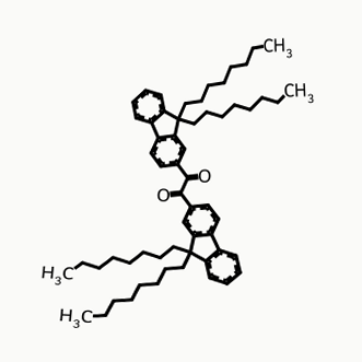 CCCCCCCCC1(CCCCCCCC)c2ccccc2-c2ccc(C(=O)C(=O)c3ccc4c(c3)C(CCCCCCCC)(CCCCCCCC)c3ccccc3-4)cc21